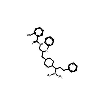 CN(C)C(CCc1ccccc1)C1CCC(CC(CNC(=O)c2ccccc2O)Oc2ccccc2)CC1